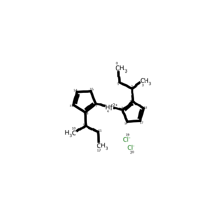 CCC(C)C1=[C]([Hf+2][C]2=C(C(C)CC)C=CC2)CC=C1.[Cl-].[Cl-]